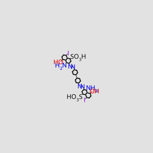 Nc1c(/N=N/c2ccc(-c3ccc(/N=N/c4cc(S(=O)(=O)O)c5c(I)ccc(O)c5c4N)cc3)cc2)cc(S(=O)(=O)O)c2c(I)ccc(O)c12